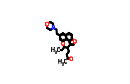 CCC(=O)C(CCC(C)=O)c1coc2ccc3cc(CCN4CCOCC4)ccc3c12